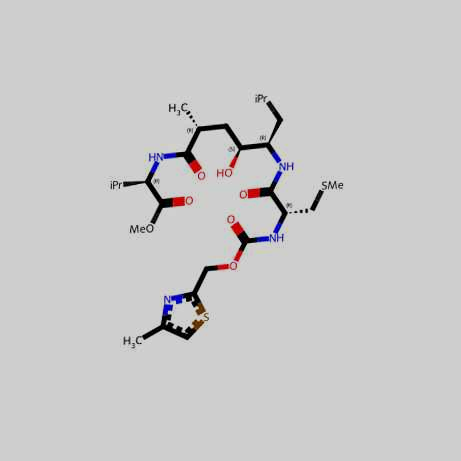 COC(=O)[C@H](NC(=O)[C@H](C)C[C@H](O)[C@@H](CC(C)C)NC(=O)[C@H](CSC)NC(=O)OCc1nc(C)cs1)C(C)C